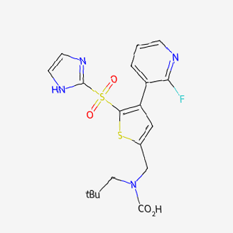 CC(C)(C)CN(Cc1cc(-c2cccnc2F)c(S(=O)(=O)c2ncc[nH]2)s1)C(=O)O